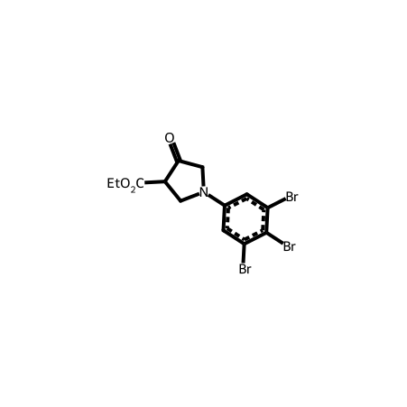 CCOC(=O)C1CN(c2cc(Br)c(Br)c(Br)c2)CC1=O